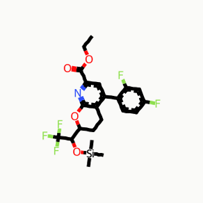 CCOC(=O)c1cc(-c2ccc(F)cc2F)c2c(n1)OC(C(O[Si](C)(C)C)C(F)(F)F)CC2